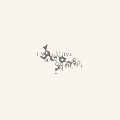 COc1cc(N(C)CCN(C)C)c(NC(=O)CCCl)cc1Nc1ncc(C#N)c(-c2cn(C3CC3)c3c2C=CCN3)n1